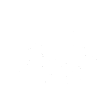 CCC[N+]1(C)N=C(C(C)C)C(C(=O)OCC)=C1c1ccc(-c2ccccc2-c2nnn[nH]2)c(F)c1